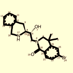 CC1(C)CN(C[C@@H](O)[C@@H]2Cc3ccccc3CN2)C(=O)c2ccc(Br)cc21